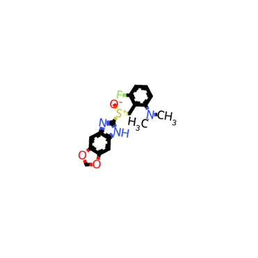 CN(C)c1cccc(F)c1C[S+]([O-])c1nc2cc3c(cc2[nH]1)OCO3